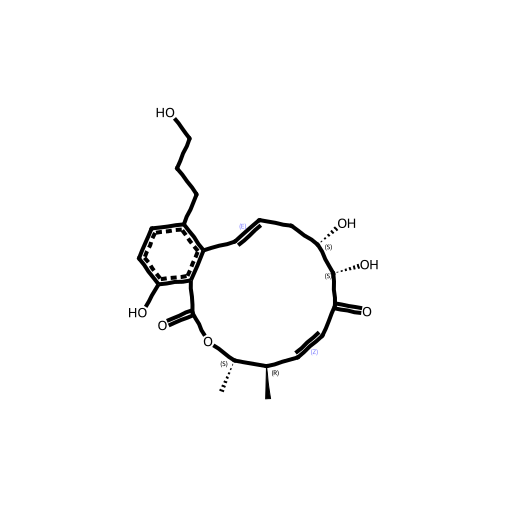 C[C@@H]1/C=C\C(=O)[C@@H](O)[C@@H](O)C/C=C/c2c(CCCO)ccc(O)c2C(=O)O[C@H]1C